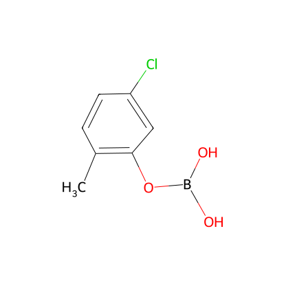 Cc1ccc(Cl)cc1OB(O)O